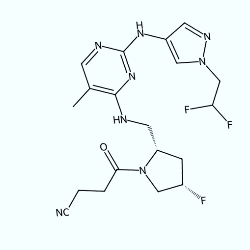 Cc1cnc(Nc2cnn(CC(F)F)c2)nc1NC[C@@H]1C[C@H](F)CN1C(=O)CCC#N